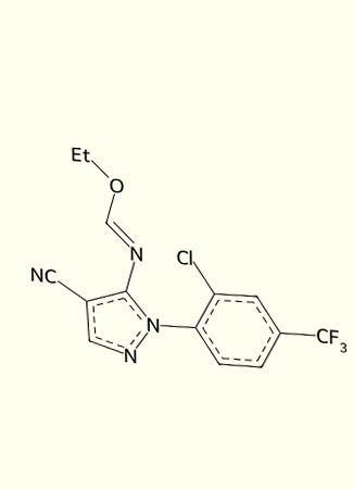 CCO/C=N/c1c(C#N)cnn1-c1ccc(C(F)(F)F)cc1Cl